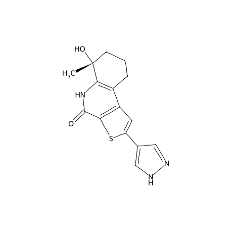 C[C@@]1(O)CCCc2c1[nH]c(=O)c1sc(-c3cn[nH]c3)cc21